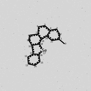 Cc1ccc2ccc3ccc4c5ccccc5[se]c4c3c2c1